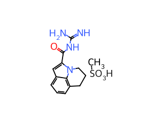 CS(=O)(=O)O.N=C(N)NC(=O)c1cc2cccc3c2n1CCC3